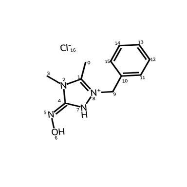 Cc1n(C)c(=NO)[nH][n+]1Cc1ccccc1.[Cl-]